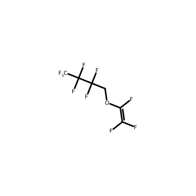 FC(F)=C(F)OCC(F)(F)C(F)(F)C(F)(F)F